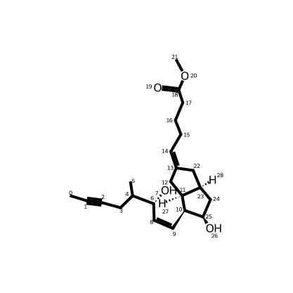 CC#CCC(C)[C@H](O)/C=C\[C@H]1[C@H]2C/C(=C/CCCC(=O)OC)C[C@H]2C[C@H]1O